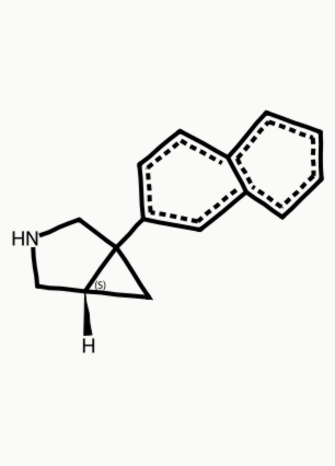 c1ccc2cc(C34CNC[C@H]3C4)ccc2c1